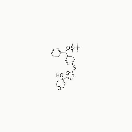 CC(C)(C)[Si](C)(C)OC(c1ccccc1)c1ccc(Sc2ccc(C3(O)CCOCC3)s2)cc1